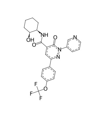 O=C(N[C@@H]1CCCC[C@@H]1O)c1cc(-c2ccc(OC(F)(F)F)cc2)nn(-c2cccnc2)c1=O